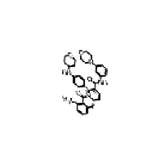 Cc1cccc(F)c1C(=O)N1CCC[C@H](C(=O)Nc2cccc(N3CCOCC3)c2)[C@@H]1C1C=CC(NC2CCOCC2)=CC1